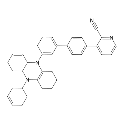 N#Cc1ncccc1-c1ccc(C2=CCCC(N3C4=C(C=CCC4)N(C4CC=CCC4)C4CCC=CC43)=C2)cc1